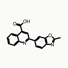 Cc1nc2ccc(-c3cc(C(=O)O)c4ccccc4n3)cc2o1